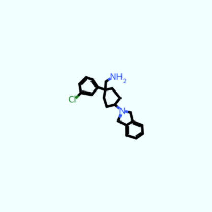 NCC1(c2cccc(Cl)c2)CCC(N2Cc3ccccc3C2)CC1